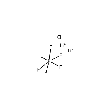 F[P-](F)(F)(F)(F)F.[Cl-].[Li+].[Li+]